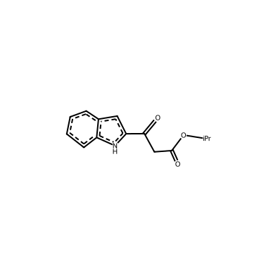 CC(C)OC(=O)CC(=O)c1cc2ccccc2[nH]1